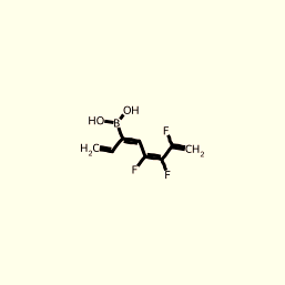 C=C/C(=C\C(F)=C(\F)C(=C)F)B(O)O